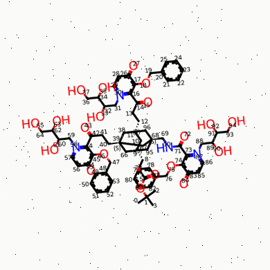 CC(C)(C)OC(=O)CC[C@@]12C[C@@]3(CCC(=O)c4c(OCc5ccccc5)c(=O)ccn4CC(O)C(O)CO)C[C@@](CCC(=O)c4c(OCc5ccccc5)c(=O)ccn4CC(O)C(O)CO)(C1)C[C@@](CNC(=O)c1c(OCc4ccccc4)c(=O)ccn1CC(O)C(O)CO)(C2)C3